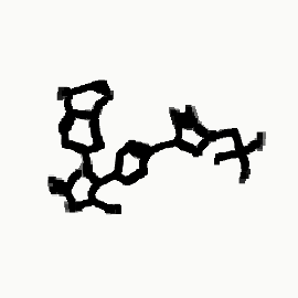 O=C1NC(O)C(c2ccc(-c3nnn(CC(F)(F)F)n3)cc2)N1c1ccc2[nH]cnc2c1